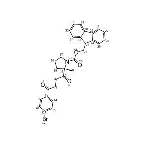 C[C@@]1(C(=O)CCC(=O)c2ccc(Br)cc2)CCCN1C(=O)OCC1c2ccccc2-c2ccccc21